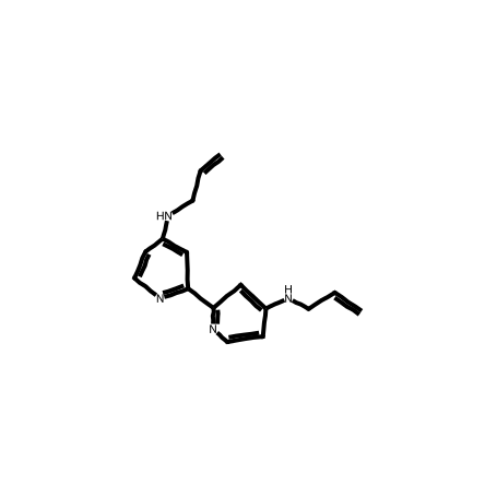 C=CCNc1ccnc(-c2cc(NCC=C)ccn2)c1